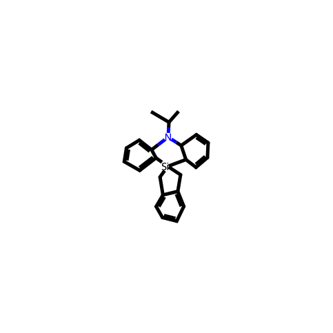 CC(C)N1c2ccccc2[Si]2(Cc3ccccc3C2)C2C=CC=CC21